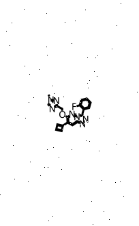 Cn1cnc(COc2nn3c(-c4ccccc4F)nnc3cc2C2=CC=C2)n1